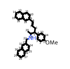 COc1ccc(C(CC=Cc2ccc3ccccc3c2)C(C)NCc2ccc3ccccc3c2)cc1